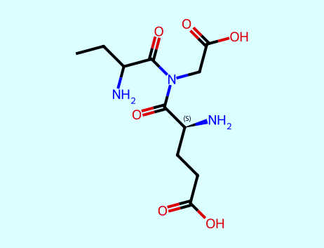 CCC(N)C(=O)N(CC(=O)O)C(=O)[C@@H](N)CCC(=O)O